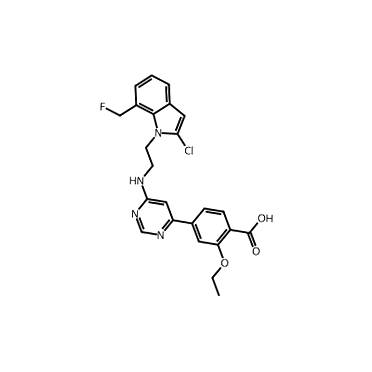 CCOc1cc(-c2cc(NCCn3c(Cl)cc4cccc(CF)c43)ncn2)ccc1C(=O)O